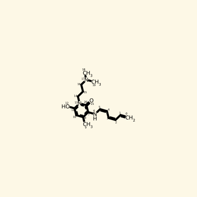 C=C/C=C\C=C/Nc1c(C)cc(O)n(CCCN(C)C)c1=O